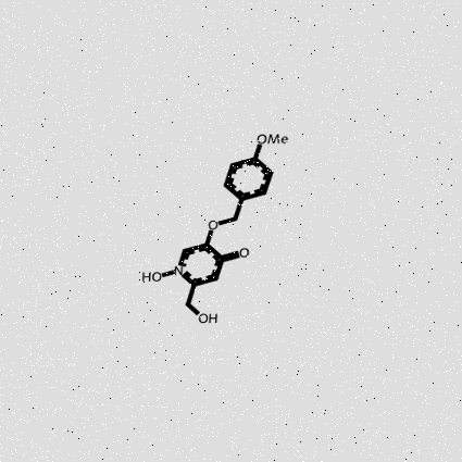 COc1ccc(COc2cn(O)c(CO)cc2=O)cc1